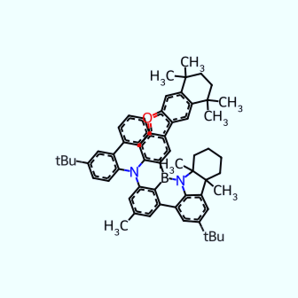 Cc1cc2c3c(c1)N(c1ccc(C(C)(C)C)cc1-c1ccccc1)c1cc4oc5cc6c(cc5c4cc1B3N1c3c-2cc(C(C)(C)C)cc3C2(C)CCCCC12C)C(C)(C)CCC6(C)C